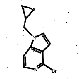 Brc1nccc2c1ccn2CC1CC1